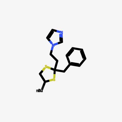 CCCCC1CSC(CCn2ccnc2)(Cc2ccccc2)S1